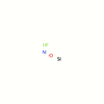 F.[N].[O].[Si]